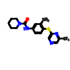 O=C(Nc1ccc(Sc2cncc(C(F)(F)F)n2)c([N+](=O)[O-])c1)N1CCCCC1